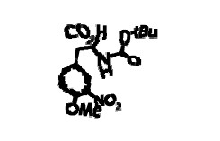 COc1ccc(CC(NC(=O)OC(C)(C)C)C(=O)O)cc1[N+](=O)[O-]